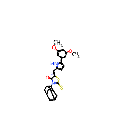 COc1cc(OC)cc(-c2ccc(/C=C3\SC(=S)N(C4C5CC6CC(C5)CC4C6)C3=O)[nH]2)c1